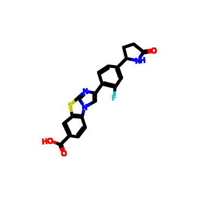 O=C1CCC(c2ccc(-c3cn4c(n3)sc3cc(C(=O)O)ccc34)c(F)c2)N1